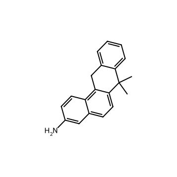 CC1(C)c2ccccc2Cc2c1ccc1cc(N)ccc21